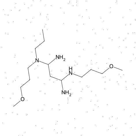 CCCN(CCCOC)C(N)CC(N)NCCCOC